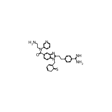 N=C(N)c1ccc(CCc2nc3cc(C(=O)N(CCN)c4cccnc4)ccc3n2CC2=CC=CCC2=S)cc1